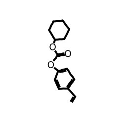 C=Cc1ccc(OC(=O)OC2CCCCC2)cc1